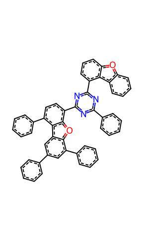 c1ccc(-c2cc(-c3ccccc3)c3oc4c(-c5nc(-c6ccccc6)nc(-c6cccc7oc8ccccc8c67)n5)ccc(-c5ccccc5)c4c3c2)cc1